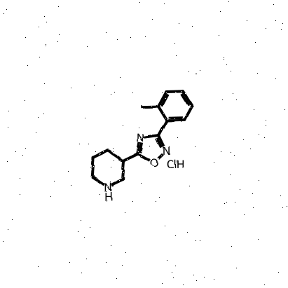 Cc1ccccc1-c1noc(C2CCCNC2)n1.Cl